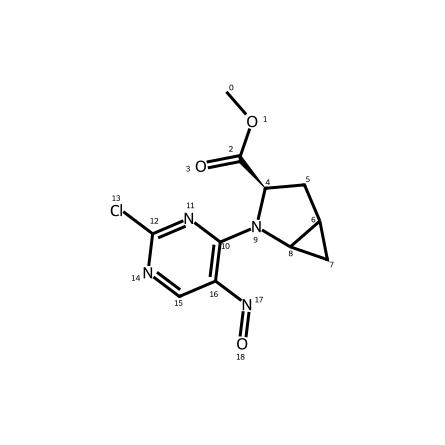 COC(=O)[C@H]1CC2CC2N1c1nc(Cl)ncc1N=O